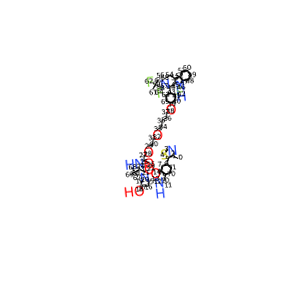 Cc1ncsc1-c1ccc([C@H](C)NC(=O)[C@@H]2C[C@@H](O)CN2C(=O)C(NC(=O)COCCCOCCCCCOc2cc(F)c([C@@H]3c4[nH]c5ccccc5c4C[C@@H](C)N3CC(C)(C)F)c(F)c2)C(C)(C)C)cc1